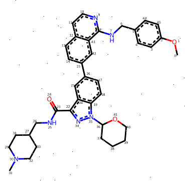 COc1ccc(CNc2nccc3ccc(-c4ccc5c(c4)c(C(=O)NCC4CCN(C)CC4)nn5C4CCCCO4)cc23)cc1